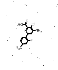 Cc1ccc(-c2cc(N)c(Cl)c(C(=O)O)n2)c(F)c1